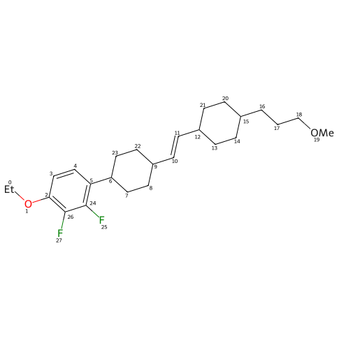 CCOc1ccc(C2CCC(/C=C/C3CCC(CCCOC)CC3)CC2)c(F)c1F